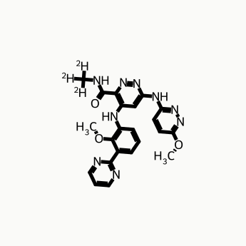 [2H]C([2H])([2H])NC(=O)c1nnc(Nc2ccc(OC)nn2)cc1Nc1cccc(-c2ncccn2)c1OC